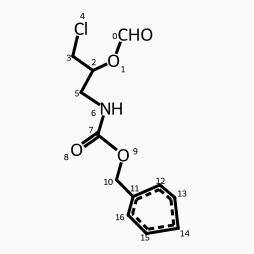 O=COC(CCl)CNC(=O)OCc1ccccc1